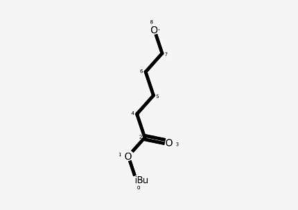 CCC(C)OC(=O)CCCC[O]